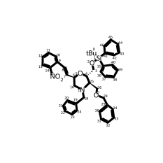 CC(C)(C)[Si](OC[C@H]1O[C@H](C=Cc2ccccc2[N+](=O)[O-])CN(Cc2ccccc2)[C@@H]1COCc1ccccc1)(c1ccccc1)c1ccccc1